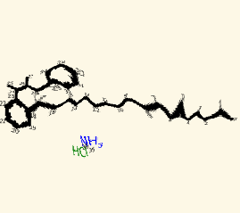 CCCCCCCCCCCCCCCCCCc1ccccc1C(C)=C(C)Cc1ccccc1.Cl.N